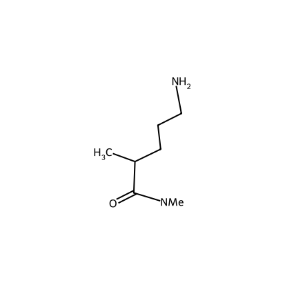 CNC(=O)C(C)CCCN